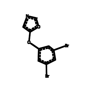 Brc1cc(Br)cc(Oc2cn[c]o2)c1